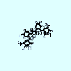 [2H]c1cc(C(=O)c2cc(C)ccc2C(=O)C(=O)C(=O)c2ccc(C)cc2C(=O)c2cc([2H])c(C)c([2H])c2C)c(C)c([2H])c1C